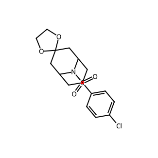 O=S(=O)(c1ccc(Cl)cc1)N1C2C[CH]CC1CC1(C2)OCCO1